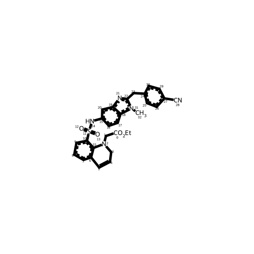 CCOC(=O)CN1CC=Cc2cccc(S(=O)(=O)Nc3ccc4c(c3)nc(Cc3ccc(C#N)cc3)n4C)c21